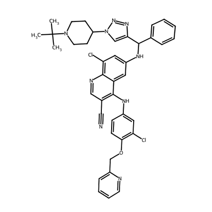 CC(C)(C)N1CCC(n2cc(C(Nc3cc(Cl)c4ncc(C#N)c(Nc5ccc(OCc6ccccn6)c(Cl)c5)c4c3)c3ccccc3)nn2)CC1